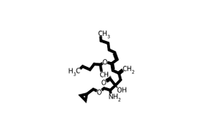 C=C(/C=C(\C=C/CCCC)OC(C)CCCC)C[C@](O)(C=O)C(N)COCC1CC1